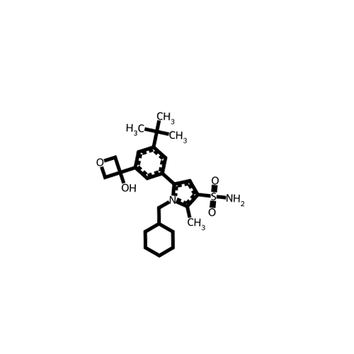 Cc1c(S(N)(=O)=O)cc(-c2cc(C(C)(C)C)cc(C3(O)COC3)c2)n1CC1CCCCC1